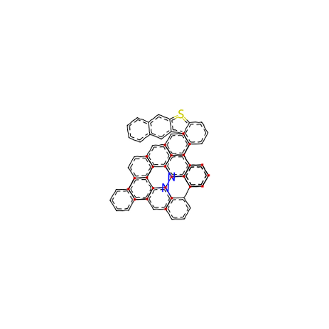 c1ccc(-c2ccccc2-c2cccc(N(c3ccccc3-c3ccccc3)c3ccccc3-c3ccccc3N(c3ccc(-c4cccc5sc6cc7ccccc7cc6c45)cc3)c3ccccc3-c3ccccc3)c2)cc1